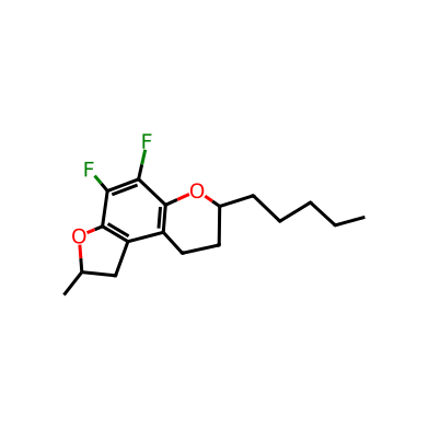 CCCCCC1CCc2c3c(c(F)c(F)c2O1)OC(C)C3